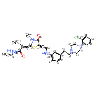 CCn1c(=C=C(C#N)C(=O)NCC#N)sc(=C=CNc2cccc(CCN3CCN(c4ccccc4Cl)CC3)c2)c1=O